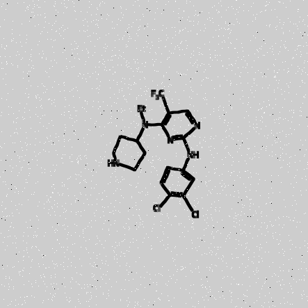 CCN(c1nc(Nc2ccc(Cl)c(Cl)c2)ncc1C(F)(F)F)C1CCNCC1